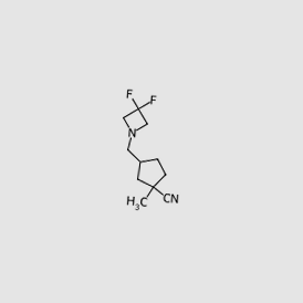 CC1(C#N)CCC(CN2CC(F)(F)C2)C1